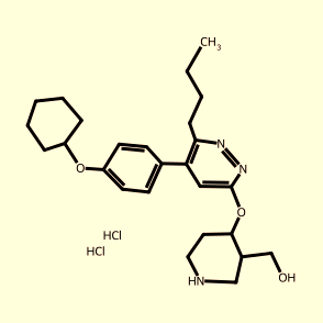 CCCCc1nnc(OC2CCNCC2CO)cc1-c1ccc(OC2CCCCC2)cc1.Cl.Cl